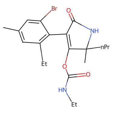 CCCC1(C)NC(=O)C(c2c(Br)cc(C)cc2CC)=C1OC(=O)NCC